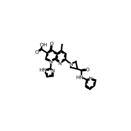 Cc1cc(N2CC(C(=O)Nc3ccccn3)C2)nc2c1c(=O)c(C(=O)O)cn2-c1ncc[nH]1